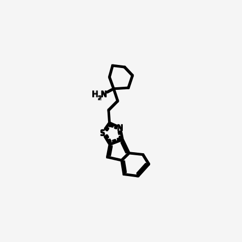 NC1(CCc2nc3c(s2)=CC2=CC=CCC=32)CCCCC1